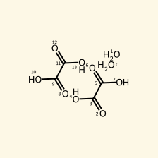 O.O.O=C(O)C(=O)O.O=C(O)C(=O)O